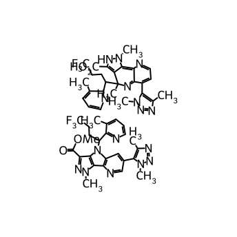 COC(=O)c1nn(C)c2c3ncc(-c4c(C)nnn4C)cc3n(C(CCC(F)(F)F)c3ncccc3C)c12.Cc1cccnc1C(CCC(F)(F)F)C1(C)N=c2c(-c3c(C)nnn3C)ccnc2=C2C1=C(C(=O)O)NN2C